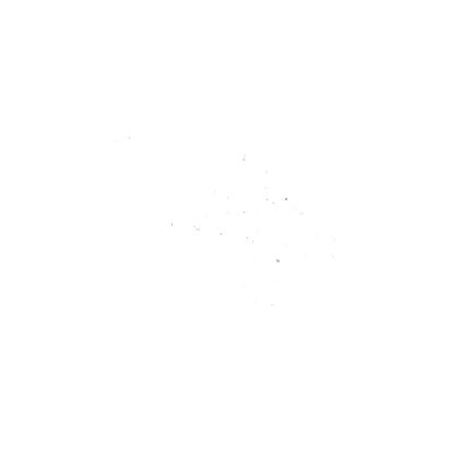 CCCCCCCCC(C)COc1ccc(-c2c(=O)n3c4ccccc4c4c(-c5ccco5)c(=O)n5c6ccccc6c2c5c43)cc1